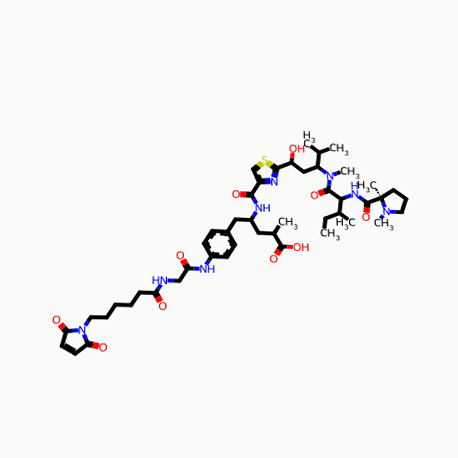 CCC(C)C(NC(=O)[C@@]1(C)CCCN1C)C(=O)N(C)C(CC(O)c1nc(C(=O)NC(Cc2ccc(NC(=O)CNC(=O)CCCCCN3C(=O)C=CC3=O)cc2)CC(C)C(=O)O)cs1)C(C)C